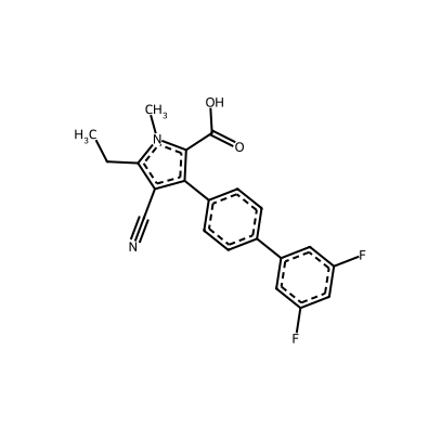 CCc1c(C#N)c(-c2ccc(-c3cc(F)cc(F)c3)cc2)c(C(=O)O)n1C